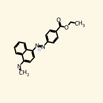 C=Nc1ccc(/N=N/c2ccc(C(=O)OCC)cc2)c2ccccc12